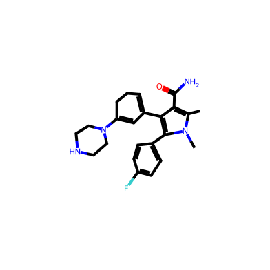 Cc1c(C(N)=O)c(C2=CCCC(N3CCNCC3)=C2)c(-c2ccc(F)cc2)n1C